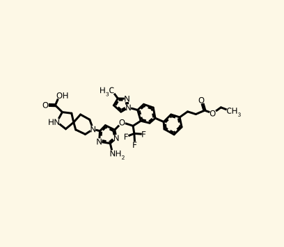 CCOC(=O)CCc1cccc(-c2ccc(-n3ccc(C)n3)c(C(Oc3cc(N4CCC5(CC4)CNC(C(=O)O)C5)nc(N)n3)C(F)(F)F)c2)c1